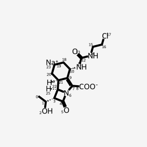 CC(O)[C@H]1C(=O)N2C(C(=O)[O-])=C3[C@@H](NC(=O)NCCCl)CCC[C@@H]3[C@H]12.[Na+]